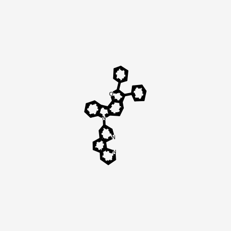 c1ccc(-c2oc3c(ccc4c3c3ccccc3n4-c3cnc4c(ccc5cccnc54)c3)c2-c2ccccc2)cc1